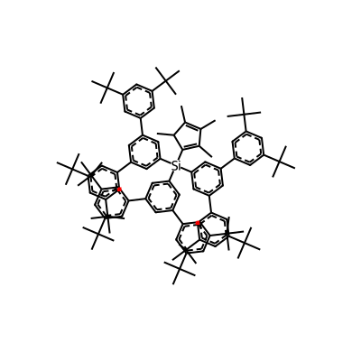 CC1=C(C)C(C)C([Si](c2cc(-c3cc(C(C)(C)C)cc(C(C)(C)C)c3)cc(-c3cc(C(C)(C)C)cc(C(C)(C)C)c3)c2)(c2cc(-c3cc(C(C)(C)C)cc(C(C)(C)C)c3)cc(-c3cc(C(C)(C)C)cc(C(C)(C)C)c3)c2)c2cc(-c3cc(C(C)(C)C)cc(C(C)(C)C)c3)cc(-c3cc(C(C)(C)C)cc(C(C)(C)C)c3)c2)=C1C